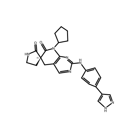 O=C1NCC[C@@]12Cc1cnc(Nc3ccc(-c4cn[nH]c4)cc3)nc1N(C1CCCC1)C2=O